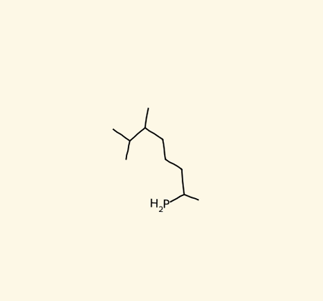 CC(P)CCCC(C)C(C)C